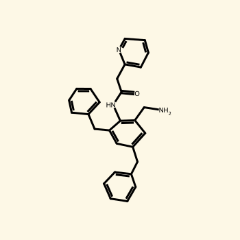 NCc1cc(Cc2ccccc2)cc(Cc2ccccc2)c1NC(=O)Cc1ccccn1